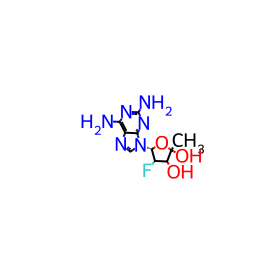 C[C@]1(O)O[C@@H](n2cnc3c(N)nc(N)nc32)[C@H](F)[C@@H]1O